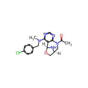 CC(=O)N1C[C@H]2CO[C@H](N2)c2c(N(C)Cc3ccc(Cl)cc3)ncnc21